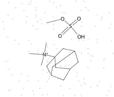 COS(=O)(=O)O.C[N+](C)(C)C12CC3CC(CC(C3)C1)C2